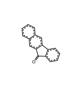 O=C1c2ccccc2-c2cc3ccccc3cc21